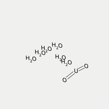 O.O.O.O.O.O.[O]=[U]=[O]